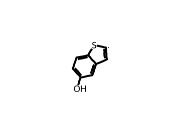 Oc1ccc2s[c]cc2c1